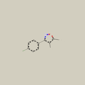 Cc1onc(-c2ccc(Cl)cc2)c1C(C)C